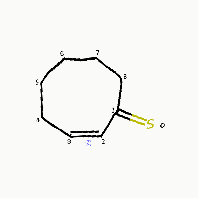 S=C1/C=[C]\CCCCC1